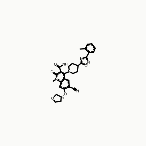 Cc1ccccc1-c1noc(C2CCN(c3c(C(N)=O)c(=O)n(C)c4cc(O[C@@H]5CCOC5)c(C#N)cc34)CC2)n1